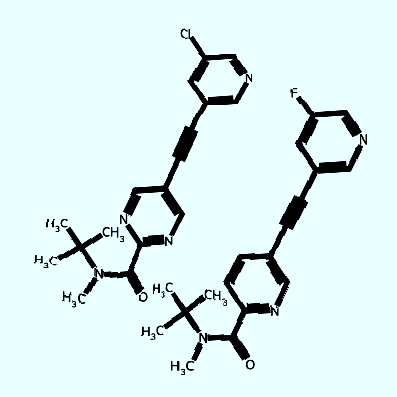 CN(C(=O)c1ccc(C#Cc2cncc(F)c2)cn1)C(C)(C)C.CN(C(=O)c1ncc(C#Cc2cncc(Cl)c2)cn1)C(C)(C)C